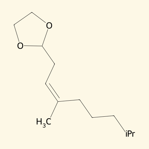 CC(=CCC1OCCO1)CCCC(C)C